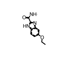 CCOc1ccc2[nH]c(C([NH])=O)nc2c1